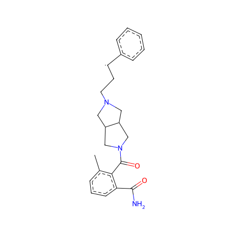 Cc1cccc(C(N)=O)c1C(=O)N1CC2CN(CC[CH]c3ccccc3)CC2C1